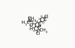 Cc1c(Cl)ccc2c(C(O)CN(C)C)cc(-c3ccc(Cl)cc3)nc12